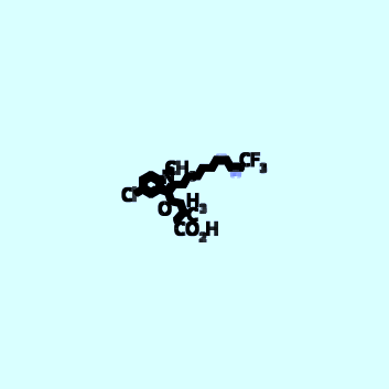 CC(CC(=O)O)CC(=O)c1c(CCCCC/C=C\C=C/C(F)(F)F)n(C)c2ccc(Cl)cc12